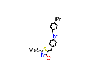 CSC1=NC(=O)C(=Cc2ccc(N(C)Cc3ccc(C(C)C)cc3)cc2)S1